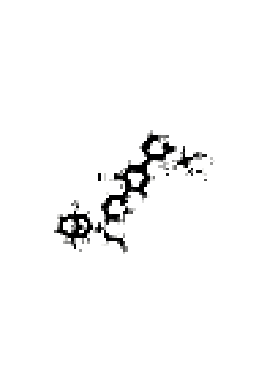 BC(B)(B)Oc1cc(-c2cc(O)c(-c3ccc(N(CCF)[C@H]4C[C@]5(C)CC[C@](C)(C4)C5)nn3)c(F)c2)ccn1